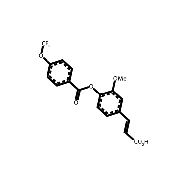 COc1cc(C=CC(=O)O)ccc1OC(=O)c1ccc(OC(F)(F)F)cc1